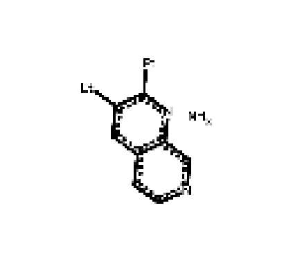 CCc1cc2ccncc2nc1CC.N